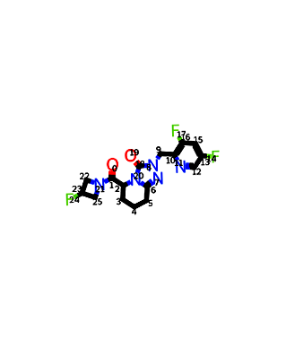 O=C(C1CCCc2nn(Cc3ncc(F)cc3F)c(=O)n21)N1CC(F)C1